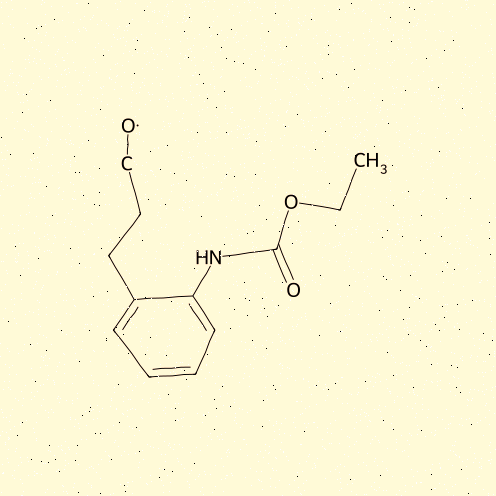 CCOC(=O)Nc1ccccc1CCC[O]